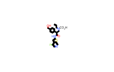 C=CCN(CC(C(=O)Nc1cc2c(F)cncc2s1)c1ccc(CO)cc1)C(=O)O